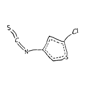 S=C=Nc1csc(Cl)c1